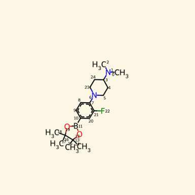 CN(C)C1CCN(c2ccc(B3OC(C)(C)C(C)(C)O3)cc2F)CC1